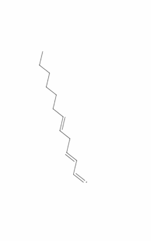 [CH]=CC=CCC=CCCCCCC